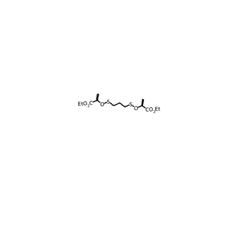 C=C(OSCCCSOC(=C)C(=O)OCC)C(=O)OCC